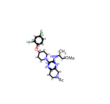 COC[C@H](C)Nc1nc2c(nc1N1CCC(Oc3ccc(F)cc3F)CC1)CCN(C(C)=O)C2